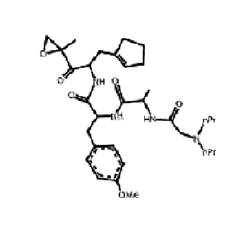 CCCN(CCC)CC(=O)NC(C)C(=O)NC(Cc1ccc(OC)cc1)C(=O)NC(CC1=CCCC1)C(=O)C1(C)CO1